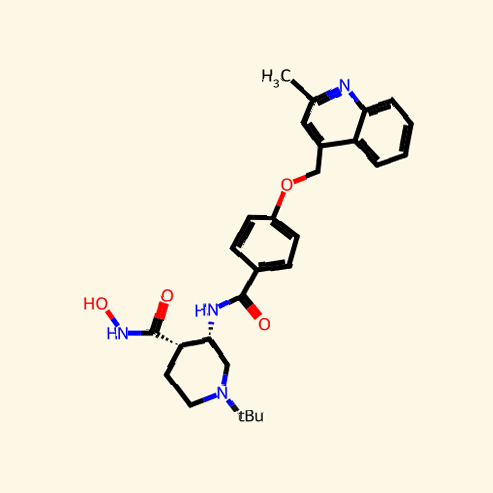 Cc1cc(COc2ccc(C(=O)N[C@@H]3CN(C(C)(C)C)CC[C@@H]3C(=O)NO)cc2)c2ccccc2n1